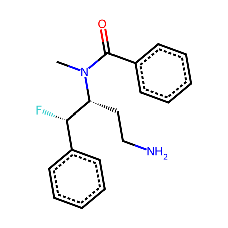 CN(C(=O)c1ccccc1)[C@H](CCN)[C@@H](F)c1ccccc1